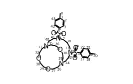 Cc1ccc(S(=O)(=O)N2CCCN(S(=O)(=O)c3ccc(C)cc3)CCN3CCOCCOCCN(CCOCC3)CC2)cc1